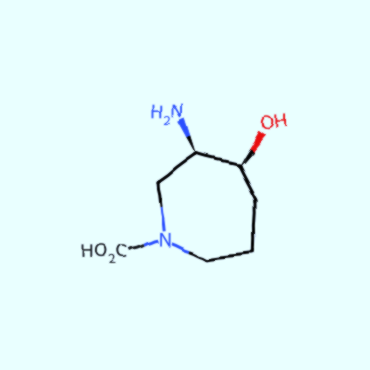 N[C@@H]1CN(C(=O)O)CCC[C@@H]1O